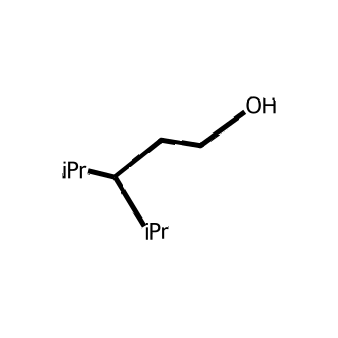 CC(C)C(CCO)C(C)C